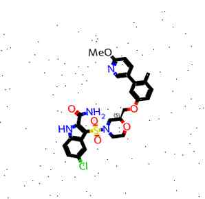 COc1ccc(-c2cc(OC[C@@H]3CN(S(=O)(=O)c4c(C(N)=O)[nH]c5ccc(Cl)cc45)CCO3)ccc2C)cn1